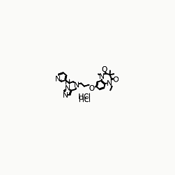 CCN1C(=O)C(C)(C)C(=O)N(C)c2cc(OCCCN(CCc3cccnc3)Cc3cnc[nH]3)ccc21.Cl.Cl